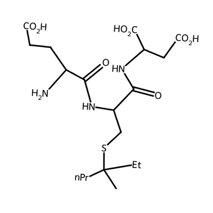 CCCC(C)(CC)SCC(NC(=O)C(N)CCC(=O)O)C(=O)NC(CC(=O)O)C(=O)O